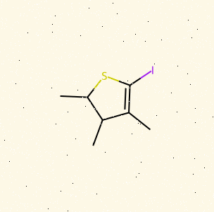 CC1=C(I)SC(C)C1C